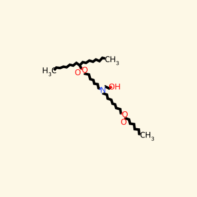 CCCCCCCCC(CCCCCCCC)C(=O)OCCCCCCCN(CCO)CCCCCCCCCOC(=O)CCCCCCC